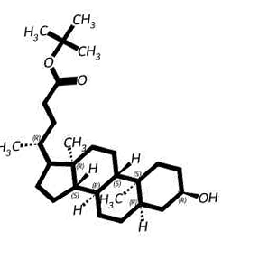 C[C@H](CCC(=O)OC(C)(C)C)C1CC[C@H]2[C@@H]3CC[C@@H]4C[C@H](O)CC[C@]4(C)[C@H]3CC[C@]12C